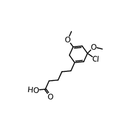 COC1=CC(Cl)(OC)C=C(CCCCC(=O)O)C1